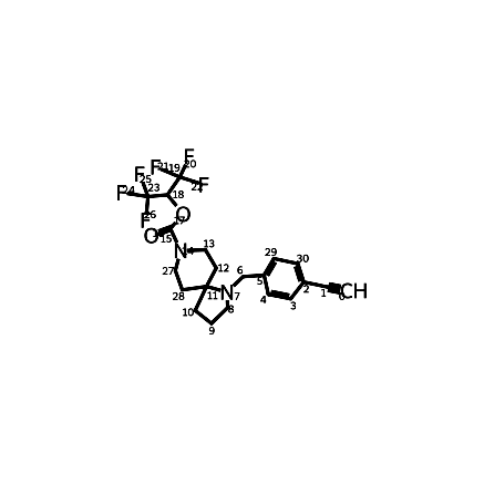 C#Cc1ccc(CN2CCCC23CCN(C(=O)OC(C(F)(F)F)C(F)(F)F)CC3)cc1